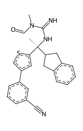 CN(C=O)C(=N)N[C@](C)(c1cc(-c2cccc(C#N)c2)cs1)C1Cc2ccccc2C1